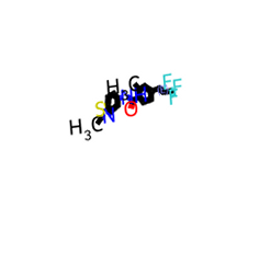 Cc1nc2cc(NC(=O)c3ccc(/C=C/C(F)(F)F)cc3C)ccc2s1